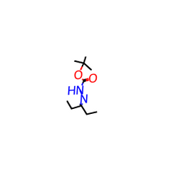 CCC(CC)=NNC(=O)OC(C)(C)C